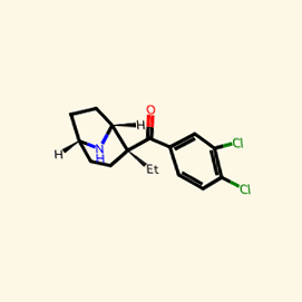 CC[C@@]1(C(=O)c2ccc(Cl)c(Cl)c2)CC[C@@H]2CC[C@H]1N2